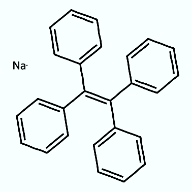 [Na].c1ccc(C(=C(c2ccccc2)c2ccccc2)c2ccccc2)cc1